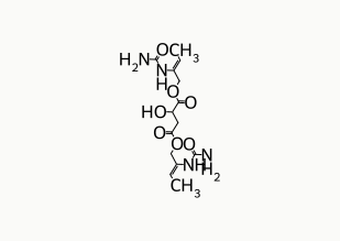 CC=C(COC(=O)CC(O)C(=O)OCC(=CC)NC(N)=O)NC(N)=O